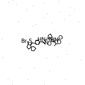 COC(=O)N[C@H](C(=O)N1CCC[C@H]1c1ncc(-c2ccc(-c3sc(Br)c4c3C3(CCCC3)CC4)cc2)[nH]1)C(C)C